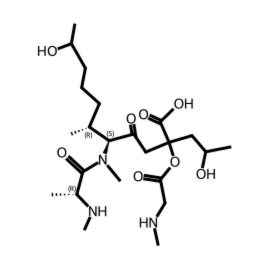 CNCC(=O)OC(CC(=O)[C@H]([C@H](C)CCCC(C)O)N(C)C(=O)[C@@H](C)NC)(CC(C)O)C(=O)O